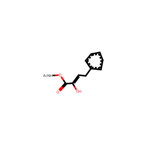 CC(=O)NOC(=O)C(O)=CCc1ccccc1